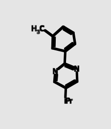 Cc1cccc(-c2ncc(C(C)C)cn2)c1